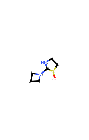 [O-][S+]1CCNC1N1CCC1